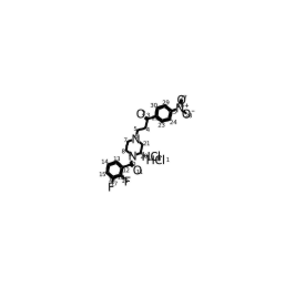 Cl.Cl.O=C(CCN1CCN(C(=O)c2cccc(F)c2F)CC1)c1ccc([N+](=O)[O-])cc1